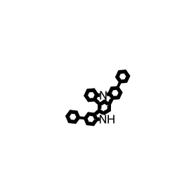 c1ccc(-c2ccc3[nH]c4cc5c6ccc(-c7ccccc7)cc6n6c7ccccc7c(c4c3c2)c56)cc1